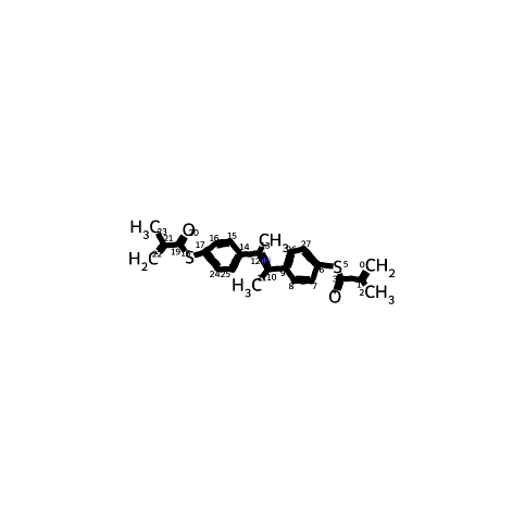 C=C(C)C(=O)Sc1ccc(/C(C)=C(\C)c2ccc(SC(=O)C(=C)C)cc2)cc1